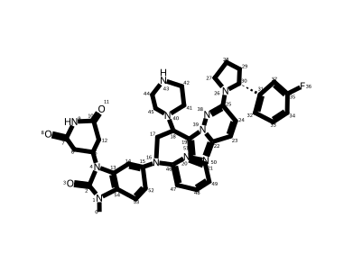 Cn1c(=O)n(C2CC(=O)NC(=O)C2)c2cc(N(CC(c3cnc4ccc(N5CCC[C@@H]5c5cccc(F)c5)nn34)N3CCNCC3)c3ccccn3)ccc21